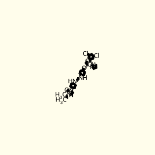 CCC(C)n1ncn(-c2ccc(NCCNc3ccc(OC[C@@H]4CO[C@@](Cn5cccn5)(c5cc(Cl)cc(Cl)c5)O4)cc3)cc2)c1=O